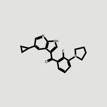 O=C(c1cccc(N2CCCC2)c1F)c1c[nH]c2ncc(C3CC3)cc12